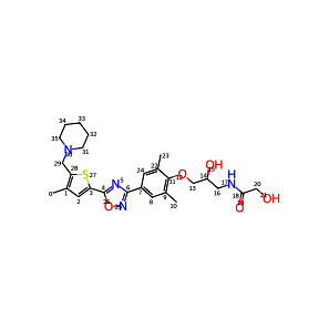 Cc1cc(-c2nc(-c3cc(C)c(OC[C@@H](O)CNC(=O)CO)c(C)c3)no2)sc1CN1CCCCC1